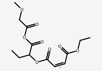 CCOC(=O)/C=C\C(=O)OC(CC)C(=O)OC(=O)COC